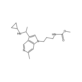 COC(=O)NCCCn1cc(C(C)NC2CC2)c2cnc(C)cc21